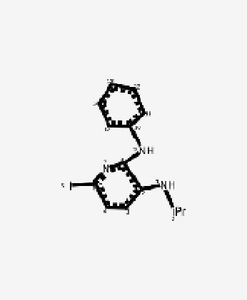 CC(C)Nc1ccc(I)nc1Nc1ccccc1